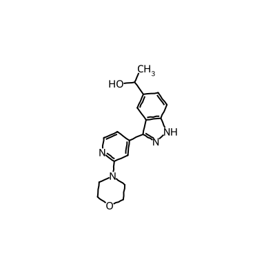 CC(O)c1ccc2[nH]nc(-c3ccnc(N4CCOCC4)c3)c2c1